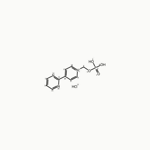 Cl.O=P(O)(O)OC[n+]1ccc(-c2ncccn2)cc1